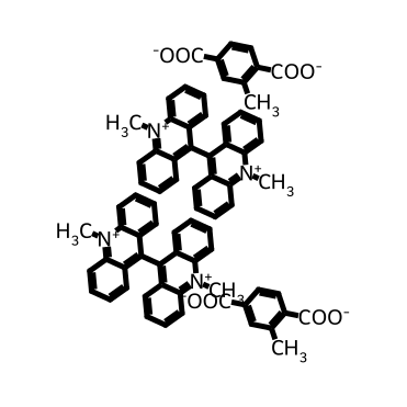 C[n+]1c2ccccc2c(-c2c3ccccc3[n+](C)c3ccccc23)c2ccccc21.C[n+]1c2ccccc2c(-c2c3ccccc3[n+](C)c3ccccc23)c2ccccc21.Cc1cc(C(=O)[O-])ccc1C(=O)[O-].Cc1cc(C(=O)[O-])ccc1C(=O)[O-]